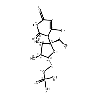 O=c1cc(I)n([C@]2(CO)O[C@H](COP(=O)(O)O)[C@@H](O)[C@H]2O)c(=O)[nH]1